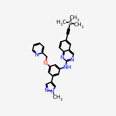 Cn1cc(-c2cc(Nc3ncc4cc(C#C[Si](C)(C)C)ccc4n3)cc(OCc3ccccn3)c2)cn1